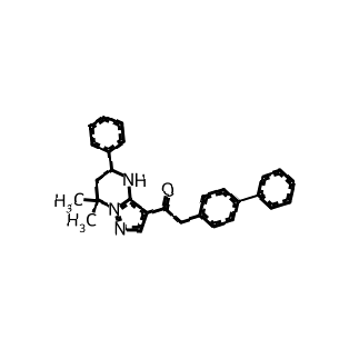 CC1(C)CC(c2ccccc2)Nc2c(C(=O)Cc3ccc(-c4ccccc4)cc3)cnn21